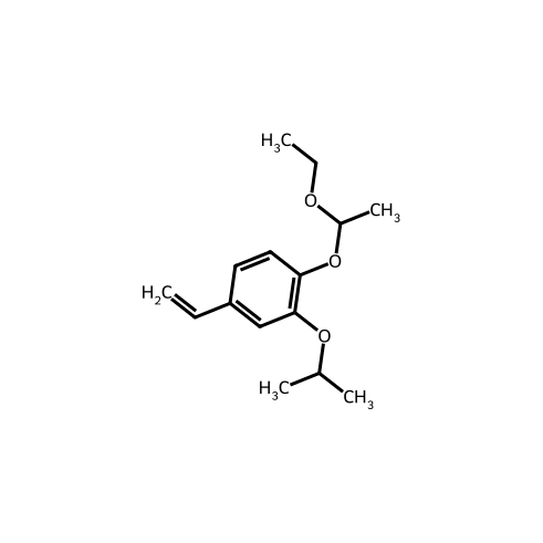 C=Cc1ccc(OC(C)OCC)c(OC(C)C)c1